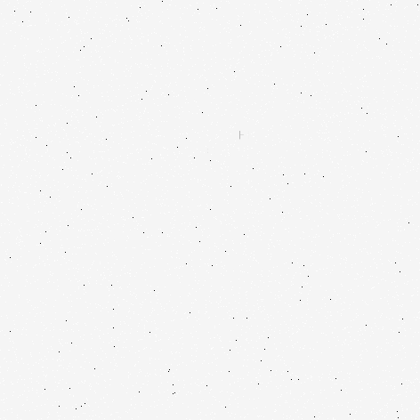 C[CH]O[Si](c1ccccc1)(c1ccccc1)c1ccccc1